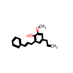 C=CCc1cc(CC=Cc2ccccc2)c(O)c(OC)c1